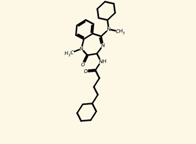 CN1C(=O)C(NC(=O)CCCC2CCCCC2)N=C(N(C)C2CCCCC2)c2ccccc21